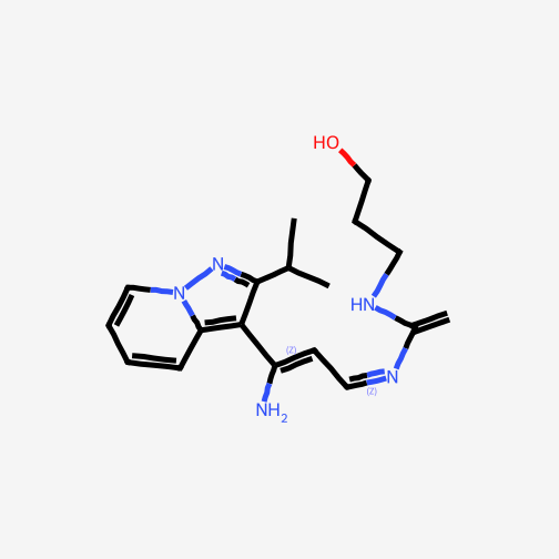 C=C(/N=C\C=C(/N)c1c(C(C)C)nn2ccccc12)NCCCO